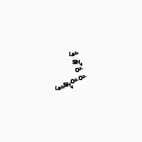 [La+3].[La+3].[O-2].[O-2].[O-2].[SiH4].[SiH4]